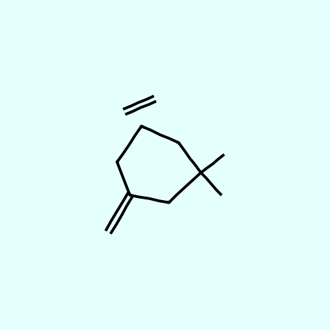 C=C.C=C1CCCC(C)(C)C1